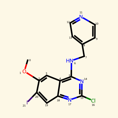 COc1cc2c(NCc3ccncc3)nc(Cl)nc2cc1I